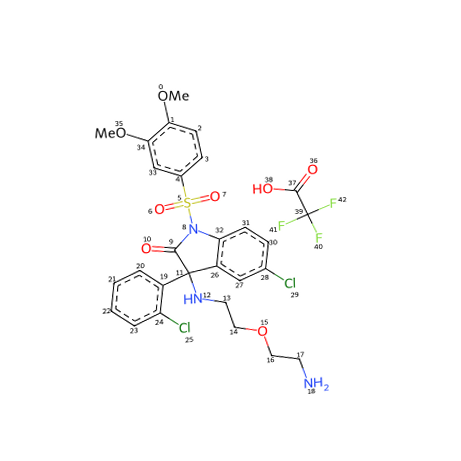 COc1ccc(S(=O)(=O)N2C(=O)C(NCCOCCN)(c3ccccc3Cl)c3cc(Cl)ccc32)cc1OC.O=C(O)C(F)(F)F